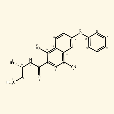 CC(C)[C@@H](CC(=O)O)NC(=O)c1nc(C#N)c2cc(Oc3ccccc3)ccc2c1O